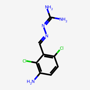 NC(N)=NN=Cc1c(Cl)ccc(N)c1Cl